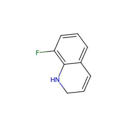 Fc1cccc2c1NCC=C2